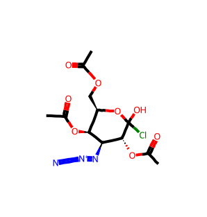 CC(=O)OC[C@H]1OC(O)(Cl)[C@H](OC(C)=O)[C@@H](N=[N+]=[N-])[C@H]1OC(C)=O